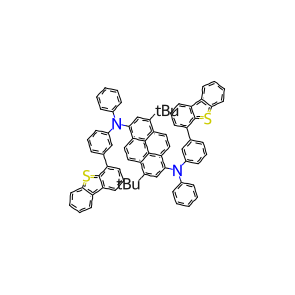 CC(C)(C)c1cc(N(c2ccccc2)c2cccc(-c3cccc4c3sc3ccccc34)c2)c2ccc3c(C(C)(C)C)cc(N(c4ccccc4)c4cccc(-c5cccc6c5sc5ccccc56)c4)c4ccc1c2c43